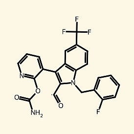 NC(=O)Oc1ncccc1-c1c([C]=O)n(Cc2ccccc2F)c2ccc(C(F)(F)F)cc12